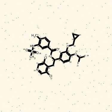 Cc1ccc(C(=O)OC(Cc2c(Cl)cncc2Cl)c2ccc(OC(F)F)c(OCC3CC3)c2)cc1NS(C)(=O)=O